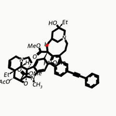 CC[C@]1(O)C[C@H]2CN(CCc3c([nH]c4ccc(C#Cc5ccccc5)cc34)[C@@](C(=O)OC)(C3C=C4C(=CC3OC)N(C)[C@@]35O[C@]3(C(=O)OC)[C@H](OC(C)=O)[C@]3(CC)C=CCN6CC[C@]45[C@@H]63)C2)C1